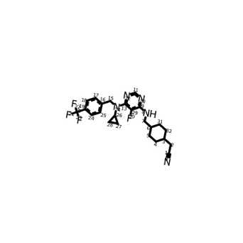 N#CCC1CCC(CNc2ncnc(N(Cc3ccc(C(F)(F)F)cc3)C3CC3)c2F)CC1